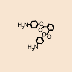 Nc1ccc(OC(=O)c2ccccc2C(=O)Oc2ccc(N)cc2)cc1